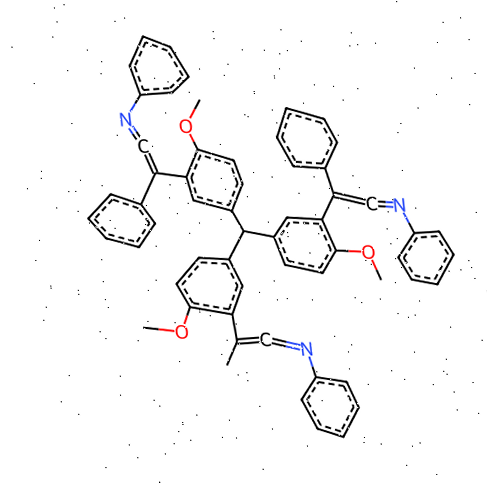 COc1ccc(C(c2ccc(OC)c(C(=C=Nc3ccccc3)c3ccccc3)c2)c2ccc(OC)c(C(=C=Nc3ccccc3)c3ccccc3)c2)cc1C(C)=C=Nc1ccccc1